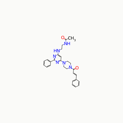 CC(=O)NCCNc1cc(N2CCN(C(=O)C=Cc3ccccc3)CC2)nc(-c2ccccc2)n1